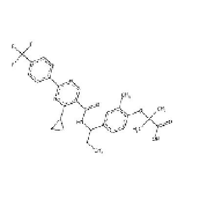 CCC(NC(=O)c1cnc(-c2ccc(C(F)(F)F)cc2)nc1C1CC1)c1ccc(OC(C)(C)C(=O)O)c(C)c1